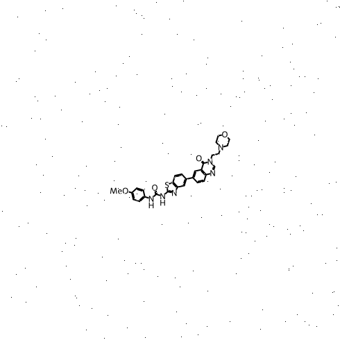 COc1ccc(NC(=O)Nc2nc3cc(-c4ccc5ncn(CCN6CCOCC6)c(=O)c5c4)ccc3s2)cc1